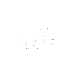 c1ccc(-c2cccc(-c3cc(-c4cccc5c4c4ccccc4n5-c4cccc5c4sc4ccccc45)nc(-c4ccccc4)n3)c2)cc1